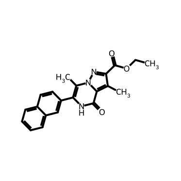 CCOC(=O)c1nn2c(C)c(-c3ccc4ccccc4c3)[nH]c(=O)c2c1C